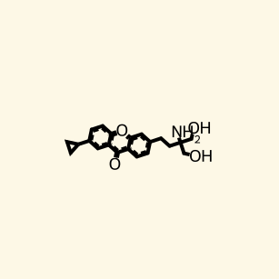 NC(CO)(CO)CCc1ccc2c(=O)c3cc(C4CC4)ccc3oc2c1